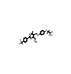 COCc1nc(-c2ccc(C(F)(F)F)cc2)nc(C)c1COc1ccc(OC(C)(C)C(=O)O)cc1